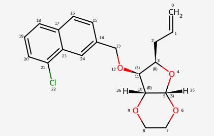 C=CC[C@H]1O[C@@H]2OCCO[C@@H]2[C@H]1OCc1ccc2cccc(Cl)c2c1